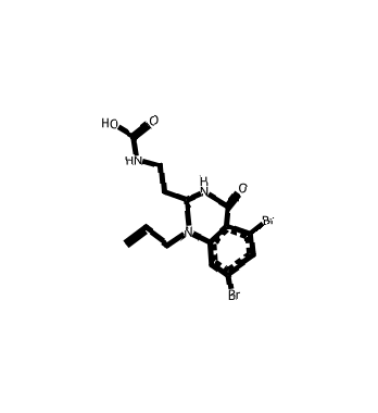 C=CCN1c2cc(Br)cc(Br)c2C(=O)NC1CCNC(=O)O